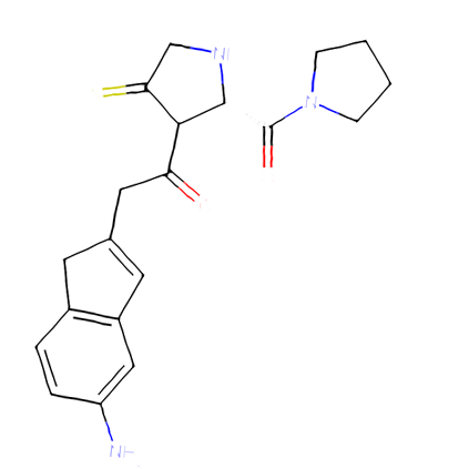 Nc1ccc2c(c1)C=C(CC(=O)C1C(=S)CN[C@@H]1C(=O)N1CCCC1)C2